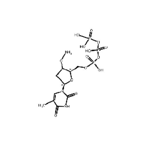 Cc1cn([C@H]2CC(ON)[C@@H](COP(=O)(O)OP(=O)(O)OP(=O)(O)O)O2)c(=O)[nH]c1=O